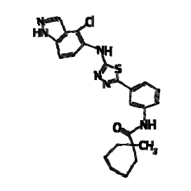 CC1(C(=O)Nc2cccc(-c3nnc(Nc4ccc5[nH]ncc5c4Cl)s3)c2)CCCCC1